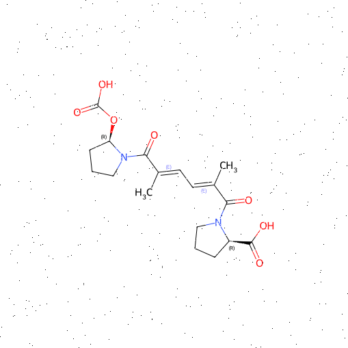 C/C(=C\C=C(/C)C(=O)N1CCC[C@H]1OC(=O)O)C(=O)N1CCC[C@@H]1C(=O)O